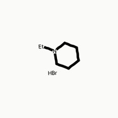 Br.CCN1CCCCC1